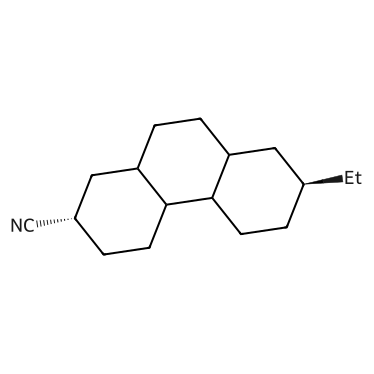 CC[C@H]1CCC2C(CCC3C[C@@H](C#N)CCC32)C1